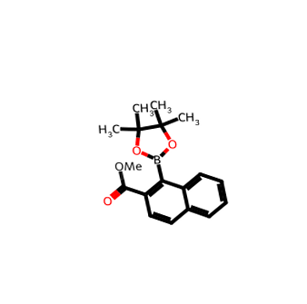 COC(=O)c1ccc2ccccc2c1B1OC(C)(C)C(C)(C)O1